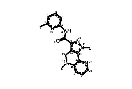 Cc1cccc(NC(=O)c2nn(C)c3c2CN(C)c2cccnc2-3)n1